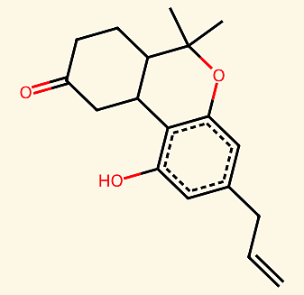 C=CCc1cc(O)c2c(c1)OC(C)(C)C1CCC(=O)CC21